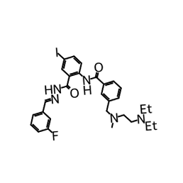 CCN(CC)CCN(C)Cc1cccc(C(=O)Nc2ccc(I)cc2C(=O)NN=Cc2cccc(F)c2)c1